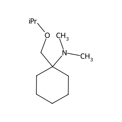 CC(C)OCC1(N(C)C)CCCCC1